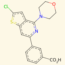 O=C(O)c1cccc(-c2cc3sc(Cl)cc3c(N3CCOCC3)n2)c1